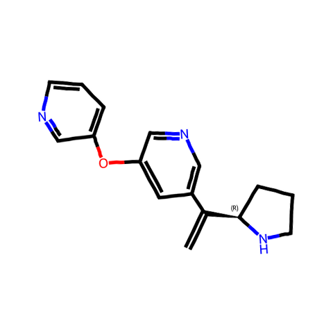 C=C(c1cncc(Oc2cccnc2)c1)[C@H]1CCCN1